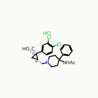 CC(=O)NC1(c2ccccc2)CCN(C[C@@H]2C[C@@]2(C(=O)O)c2ccc(Cl)c(Cl)c2)CC1.Cl